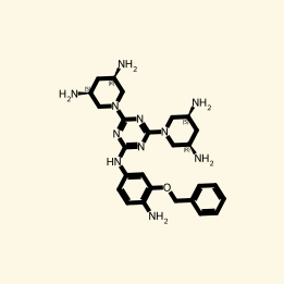 Nc1ccc(Nc2nc(N3C[C@H](N)C[C@H](N)C3)nc(N3C[C@H](N)C[C@H](N)C3)n2)cc1OCc1ccccc1